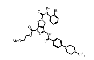 CCc1ccccc1N(CC)C(=O)N1Cc2c(NC(=O)c3ccc(N4CCN(C)CC4)cc3)nn(C(=O)OCCOC)c2C1